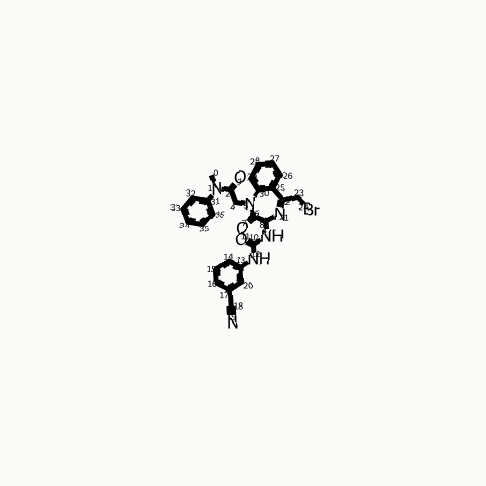 CN(C(=O)CN1C(=O)C(NC(=O)Nc2cccc(C#N)c2)N=C(CBr)c2ccccc21)c1ccccc1